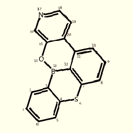 c1ccc2c(c1)Sc1cccc3c1B2Oc1cnccc1-3